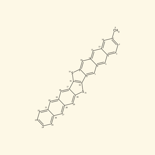 Cc1ccc2cc3cc4c(cc3cc2c1)sc1c2cc3cc5ccccc5cc3cc2sc41